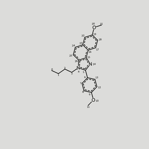 CCCCn1c(-c2ccc(OC)cc2)nc2c3ccc(OC)cc3ccc21